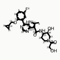 Cc1[nH]c2c(-c3cc(F)ccc3OCC3CC3)ncnc2c1C(=O)N[C@@H]1CCN(C(=O)CO)C[C@@H]1O